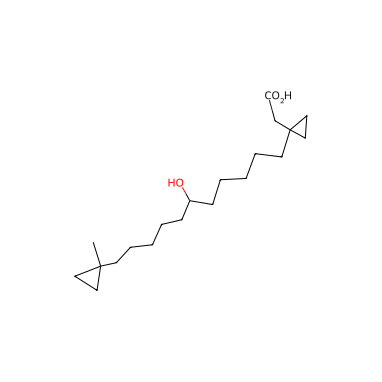 CC1(CCCCCC(O)CCCCCC2(CC(=O)O)CC2)CC1